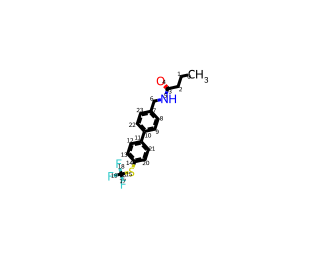 CCCC(=O)NCc1ccc(-c2ccc(SC(F)(F)F)cc2)cc1